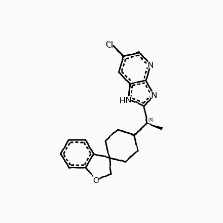 C[C@H](c1nc2ncc(Cl)cc2[nH]1)C1CCC2(CC1)COc1ccccc12